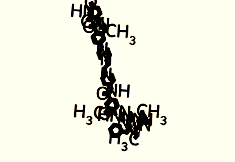 CC[C@H]1c2nnc(C)n2-c2cnc(Nc3ccc(C(=O)NC4CCN(CCN5CCN(c6ccc7c(=O)n(C8CCC(=O)NC8=O)nc(C)c7c6)CC5)CC4)cc3OC)nc2N1CC1CCCCC1